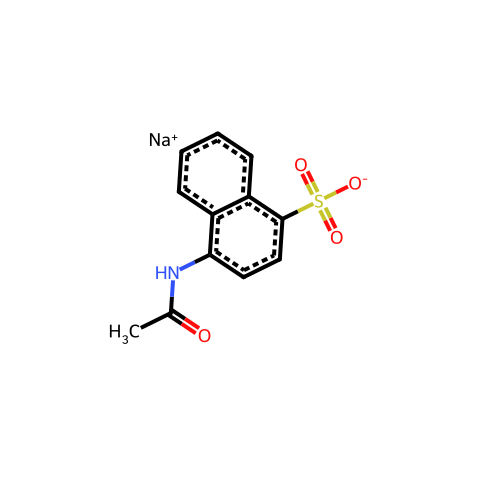 CC(=O)Nc1ccc(S(=O)(=O)[O-])c2ccccc12.[Na+]